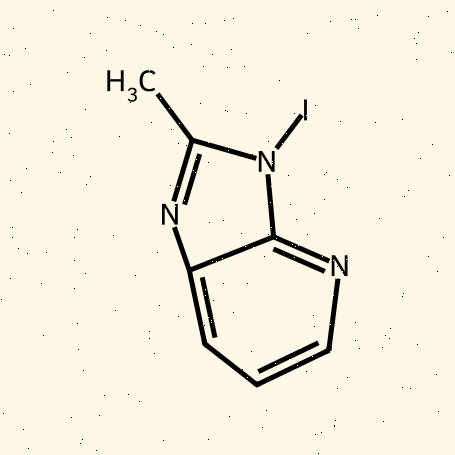 Cc1nc2cccnc2n1I